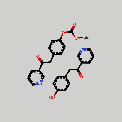 CC(C)(C)OC(=O)Oc1ccc(CC(=O)c2cccnc2)cc1.O=C(Cc1ccc(O)cc1)c1cccnc1